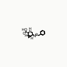 O=C(O)[C@H]1NCC(=NOCc2ccccc2)[C@@H]2C[C@H]12